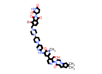 Cn1cc(-c2ccnc(N3CCn4c(cc5c4CC(C)(C)C5)C3=O)c2CO)cc(Nc2ccc(N3CCC(N4CCN(Cc5ccc6c(c5Br)C(=O)N(C5CCC(=O)NC5=O)C6=O)CC4)CC3)cn2)c1=O